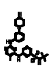 Cc1cnc(Nc2cccc(N3CCNCC3)c2)nc1Nc1cccc(S(=O)(=O)NC(C)(C)C)c1